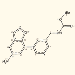 CC(C)(C)OC(=O)NCc1cccc(-c2cc(N)cc3ccoc23)c1